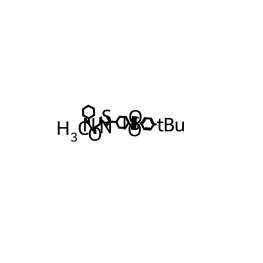 CN(C(=O)c1csc(C2CCN(S(=O)(=O)c3ccc(C(C)(C)C)cc3)CC2)n1)C1CCCCC1